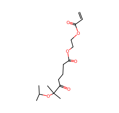 C=CC(=O)OCCOC(=O)CCCC(=O)C(C)(C)OC(C)C